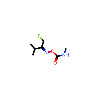 CNC(=O)ON=C(CF)C(C)C